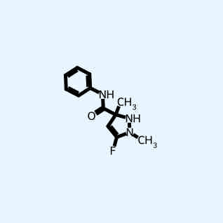 CN1NC(C)(C(=O)Nc2ccccc2)C=C1F